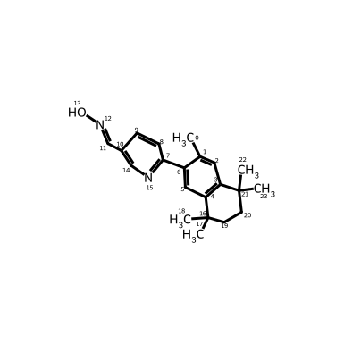 Cc1cc2c(cc1-c1ccc(C=NO)cn1)C(C)(C)CCC2(C)C